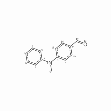 CN(c1ccccc1)c1ccc(C=O)cc1